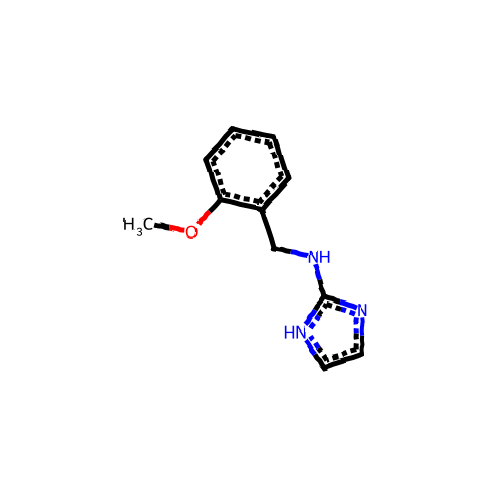 COc1ccccc1CNc1ncc[nH]1